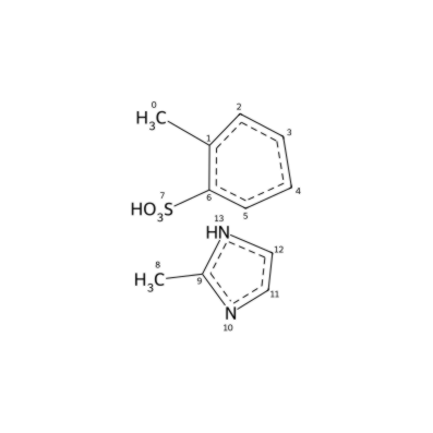 Cc1ccccc1S(=O)(=O)O.Cc1ncc[nH]1